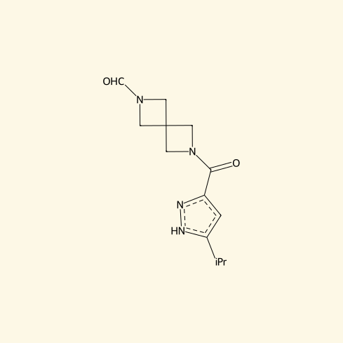 CC(C)c1cc(C(=O)N2CC3(CN(C=O)C3)C2)n[nH]1